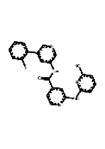 N#Cc1cccc(Nc2cc(C(=O)Nc3cncc(-c4ccccc4F)c3)ccn2)n1